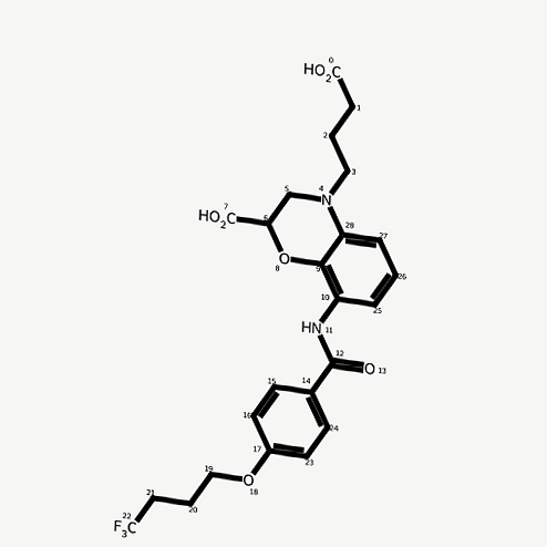 O=C(O)CCCN1CC(C(=O)O)Oc2c(NC(=O)c3ccc(OCCCC(F)(F)F)cc3)cccc21